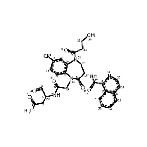 CC(=O)C[C@@H](C=O)NC(=O)CN1C(=O)[C@@H](NC(=O)c2nccc3ccccc23)CN(C(=O)CCO)c2cc(Cl)ccc21